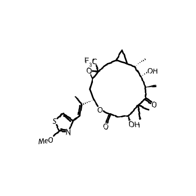 COc1nc(/C=C(\C)[C@@H]2CC3OC3(C(F)(F)F)CC3CC3[C@H](C)[C@H](O)[C@@H](C)C(=O)C(C)(C)[C@@H](O)CC(=O)O2)cs1